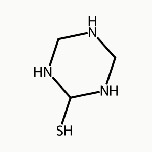 SC1NCNCN1